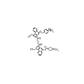 CN1CCN(C(=O)Oc2cc3c(c4ccccc24)C(CCl)CN3C(=O)CCCC(=O)N2C[C@@H](CCl)c3c2cc(OCc2ccc(N)cc2)c2ccccc32)CC1